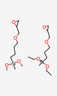 CCO[Si](C)(CCCOCC1CO1)OCC.CO[Si](C)(CCCCOCC1CO1)OC